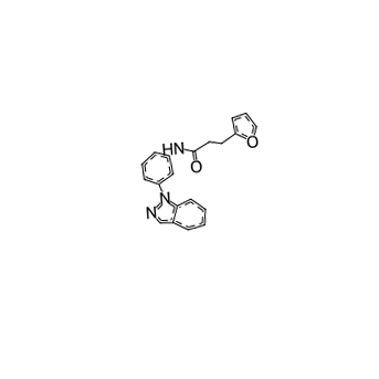 O=C(CCc1ccco1)Nc1cccc(-n2ncc3ccccc32)c1